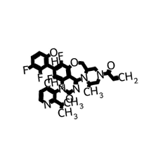 C=CC(=O)N1CC(C)N2c3nc(=O)n(-c4c(C)ccnc4C(C)C)c4c(F)c(-c5c(O)ccc(F)c5F)c(F)c(c34)OCC2C1